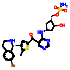 Cc1sc(C(=O)c2cncnc2N[C@@H]2C[C@H](COS(N)(=O)=O)[C@@H](O)C2)cc1[C@H]1NCCc2ccc(Br)cc21